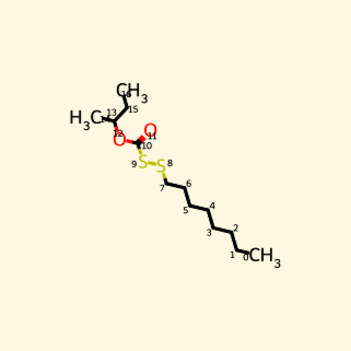 CCCCCCCCSSC(=O)OC(C)CC